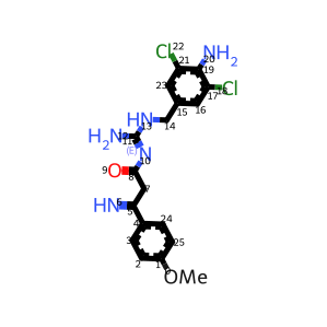 COc1ccc(C(=N)CC(=O)/N=C(\N)NCc2cc(Cl)c(N)c(Cl)c2)cc1